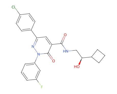 O=C(NC[C@H](O)C1CCC1)c1cc(-c2ccc(Cl)cc2)nn(-c2cccc(F)c2)c1=O